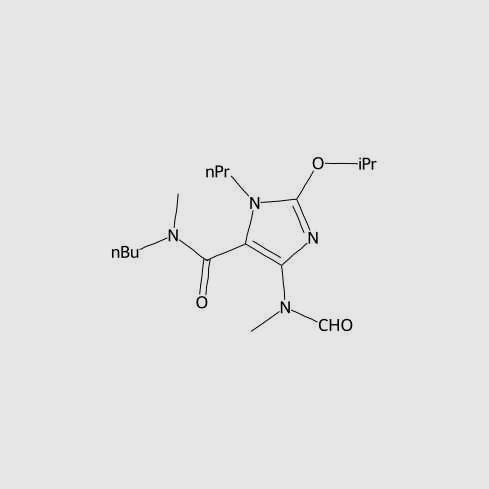 CCCCN(C)C(=O)c1c(N(C)C=O)nc(OC(C)C)n1CCC